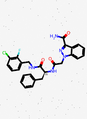 NC(=O)c1nn(CC(=O)N[C@@H](Cc2ccccc2)C(=O)NCc2cccc(Cl)c2F)c2ccccc12